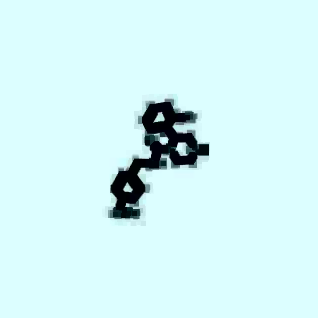 COc1ccc(CNC(=O)N2CCNCC2c2ccccc2C(C)C)cc1